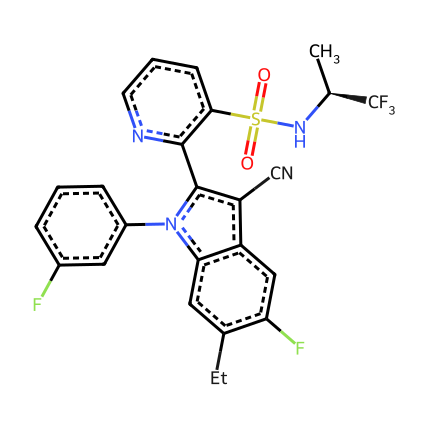 CCc1cc2c(cc1F)c(C#N)c(-c1ncccc1S(=O)(=O)N[C@@H](C)C(F)(F)F)n2-c1cccc(F)c1